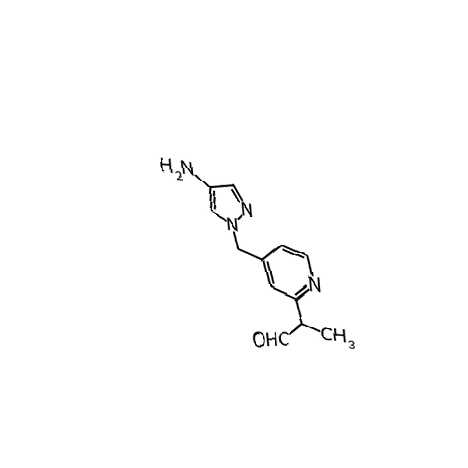 CC(C=O)c1cc(Cn2cc(N)cn2)ccn1